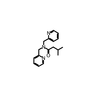 CC(C)CC(=O)N(Cc1ccccn1)Cc1ccccn1